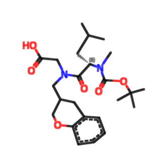 CC(C)C[C@@H](C(=O)N(CC(=O)O)CC1COc2ccccc2C1)N(C)C(=O)OC(C)(C)C